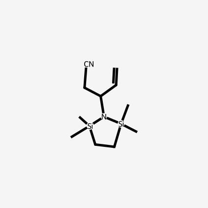 C=CC(CC#N)N1[Si](C)(C)CC[Si]1(C)C